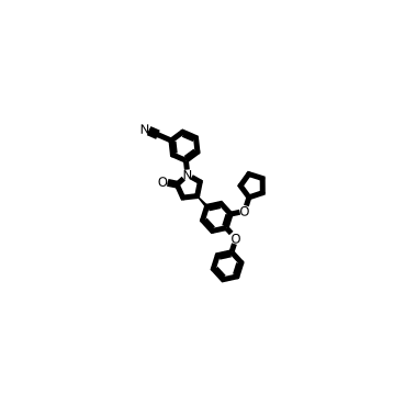 N#Cc1cccc(N2C[C@@H](c3ccc(Oc4ccccc4)c(OC4CCCC4)c3)CC2=O)c1